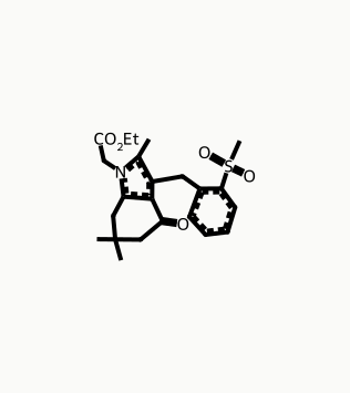 CCOC(=O)Cn1c(C)c(Cc2ccccc2S(C)(=O)=O)c2c1CC(C)(C)CC2=O